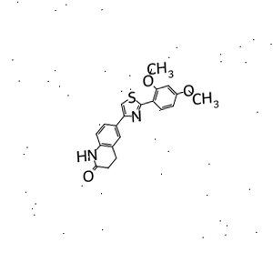 COc1ccc(-c2nc(-c3ccc4c(c3)CCC(=O)N4)cs2)c(OC)c1